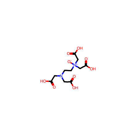 O=C(O)CN(CC[N+]([O-])(CC(=O)O)CC(=O)O)CC(=O)O